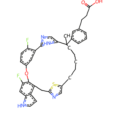 CC1(c2cccc(CCC(=O)O)c2)CCCCCc2cnc(s2)Cc2c(c(F)cc3[nH]ccc23)Oc2ccc(F)c(c2)-c2ncc1[nH]2